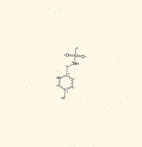 CS(=O)(=O)NCc1ccc(F)cn1